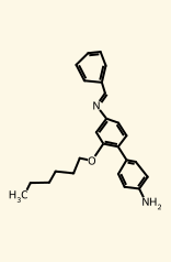 CCCCCCOc1cc(N=Cc2ccccc2)ccc1-c1ccc(N)cc1